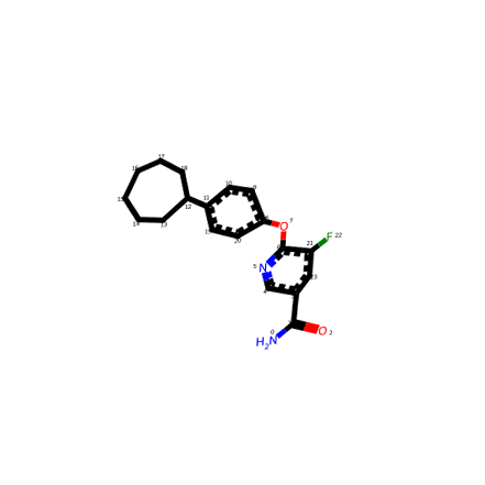 NC(=O)c1cnc(Oc2ccc(C3CCCCCC3)cc2)c(F)c1